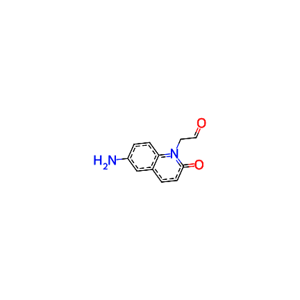 Nc1ccc2c(ccc(=O)n2CC=O)c1